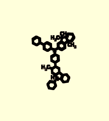 CC1C[C@H]2C(CC1C1C=CC(N(c3ccc4c(c3)C(C)(C)C3C=CC=CC43C)C3C=CC(C4=CC=CCC4)=CC3)=CC1)C1=C(CCCC1)N2C1=CCCCC1